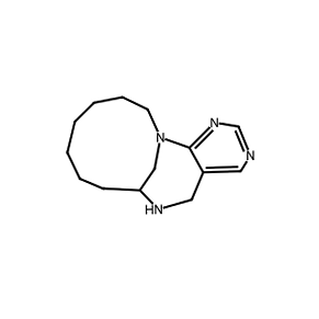 c1ncc2c(n1)N1CCCCCCCC(C1)NC2